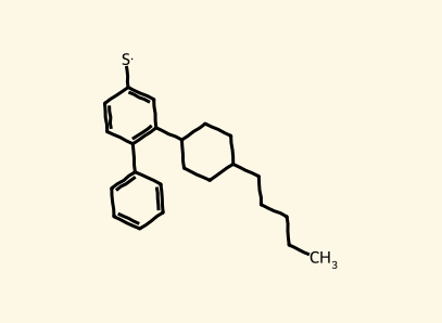 CCCCCC1CCC(c2cc([S])ccc2-c2ccccc2)CC1